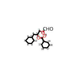 O=COC[C](CC1CCCCC1)OC(=O)C1CCCCC1